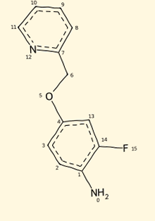 Nc1ccc(OCc2ccccn2)cc1F